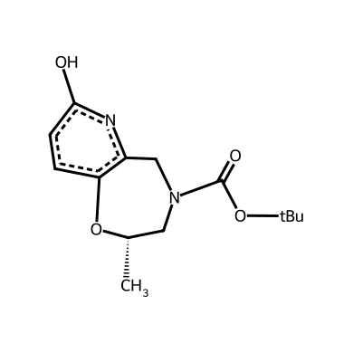 C[C@H]1CN(C(=O)OC(C)(C)C)Cc2nc(O)ccc2O1